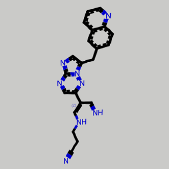 N#CCCN/C=C(\C=N)c1cnc2ncc(Cc3ccc4ncccc4c3)n2n1